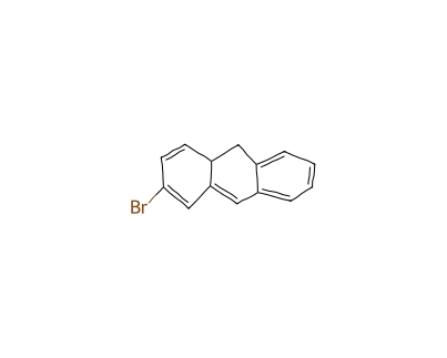 BrC1=CC2=Cc3ccccc3CC2C=C1